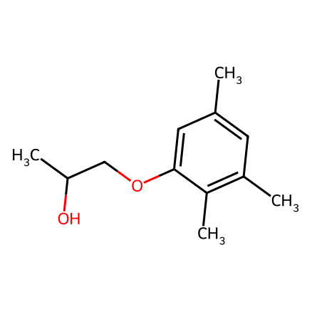 Cc1cc(C)c(C)c(OCC(C)O)c1